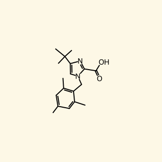 Cc1cc(C)c(Cn2cc(C(C)(C)C)nc2C(=O)O)c(C)c1